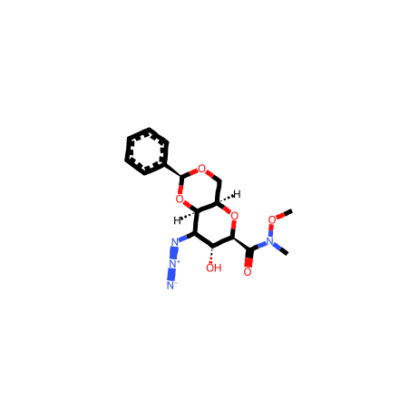 CON(C)C(=O)[C@@H]1O[C@@H]2CO[C@H](c3ccccc3)O[C@@H]2C(N=[N+]=[N-])[C@H]1O